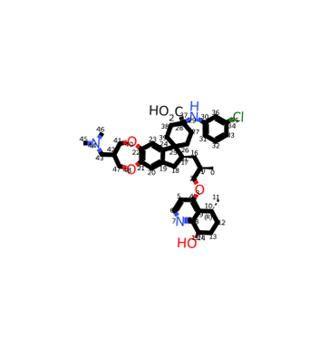 C[C@@H](COc1ccnc2c1[C@H](C)CC[C@H]2O)C[C@H]1Cc2cc3c(cc2C12CCC(Nc1cccc(Cl)c1)(C(=O)O)CC2)OCC(CN(C)C)CO3